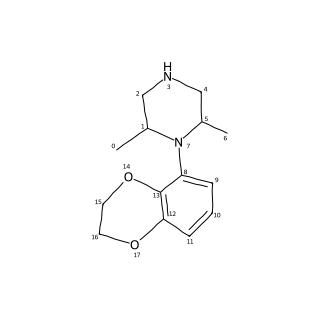 CC1CNCC(C)N1c1cccc2c1OCCO2